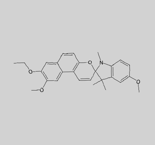 CCOc1cc2ccc3c(c2cc1OC)C=CC1(O3)N(C)c2ccc(OC)cc2C1(C)C